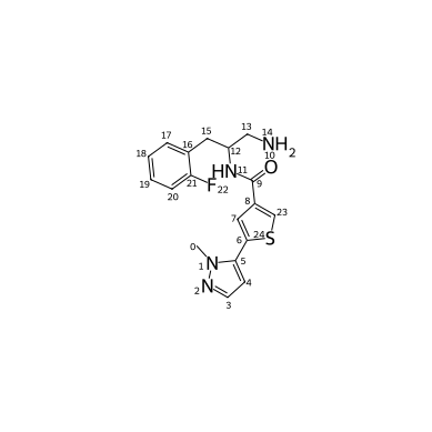 Cn1nccc1-c1cc(C(=O)NC(CN)Cc2ccccc2F)cs1